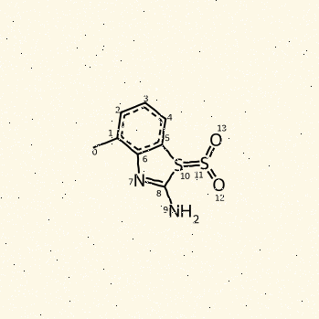 Cc1cccc2c1N=C(N)S2=S(=O)=O